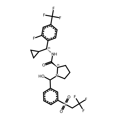 O=C(N[C@@H](c1ccc(C(F)(F)F)cc1F)C1CC1)[C@H]1CCCN1C(O)c1cccc(S(=O)(=O)CC(F)(F)F)c1